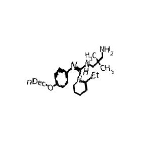 CCCCCCCCCCOc1ccc(/N=C(/NCC(C)(C)CN)N2CCCCC2CC)cc1